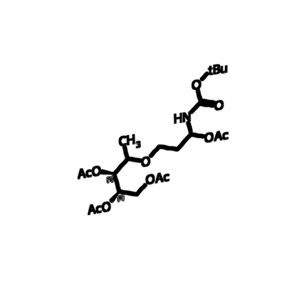 CC(=O)OC[C@@H](OC(C)=O)[C@@H](OC(C)=O)C(C)OCCC(NC(=O)OC(C)(C)C)OC(C)=O